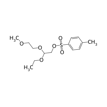 CCOC(COS(=O)(=O)c1ccc(C)cc1)OCCOC